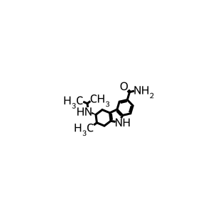 CC(C)N[C@H]1Cc2c([nH]c3ccc(C(N)=O)cc23)CC1C